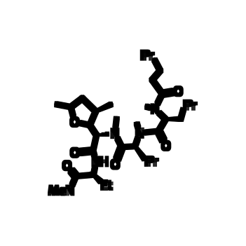 CC[C@H](NC(=O)[C@H](C1OC(C)C[C@H]1C)N(C)C(=O)[C@H](C(C)C)N(C)C(=O)[C@H](CC(C)C)N(C)C(=O)CCC(C)C)C(=O)NC